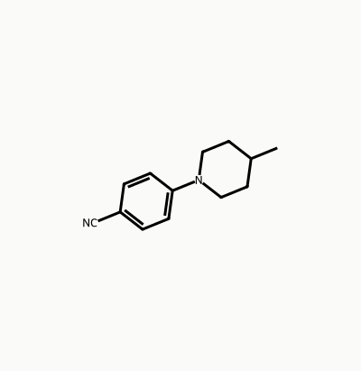 CC1CCN(c2ccc(C#N)cc2)CC1